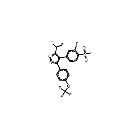 CS(=O)(=O)c1ccc(-c2c(-c3ccc(OC(F)(F)F)cc3)noc2C(F)F)cc1F